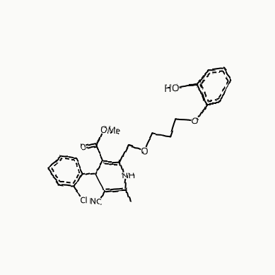 COC(=O)C1=C(COCCCOc2ccccc2O)NC(C)=C(C#N)C1c1ccccc1Cl